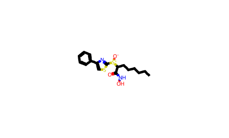 CCCCCCC(C(=O)NO)[S+]([O-])c1nc(-c2ccccc2)cs1